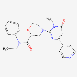 CCN(C(=O)C1CN(c2nc(-c3ccncc3)cc(=O)n2C)CCO1)c1ccccc1